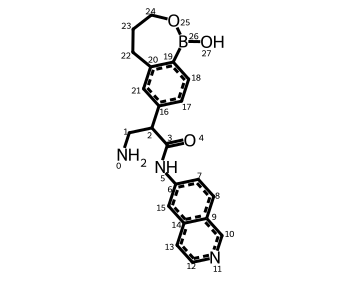 NCC(C(=O)Nc1ccc2cnccc2c1)c1ccc2c(c1)CCCOB2O